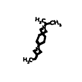 CCC1CN(C2CCC3(CC2)CN(C(C)C)C3)C1